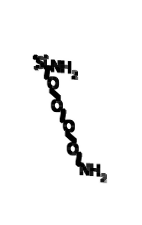 C[Si](C)(C)C(N)COCCOCCOCCOCCN